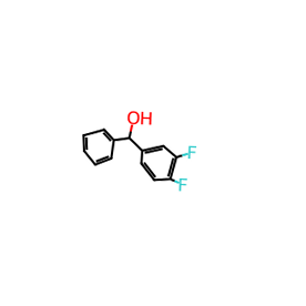 OC(c1ccccc1)c1ccc(F)c(F)c1